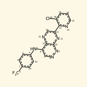 FC(F)(F)c1ccc(Nc2cnnc3nc(-c4ncccc4Cl)cnc23)cc1